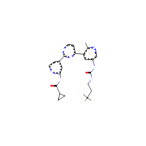 Cc1ncc(NC(=O)NCCC(C)(C)F)cc1-c1ccnc(-c2ccnc(NC(=O)C3CC3)c2)n1